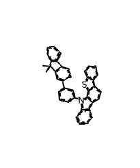 CC1(C)c2ccccc2-c2ccc(-c3cccc(-n4c5ccccc5c5ccc6c7ccccc7sc6c54)c3)cc21